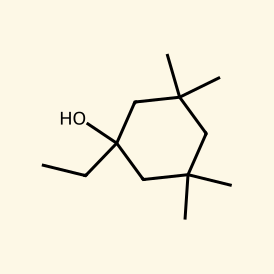 CCC1(O)CC(C)(C)CC(C)(C)C1